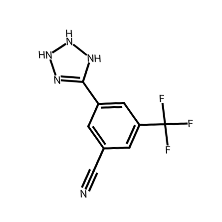 N#Cc1cc(C2=NNNN2)cc(C(F)(F)F)c1